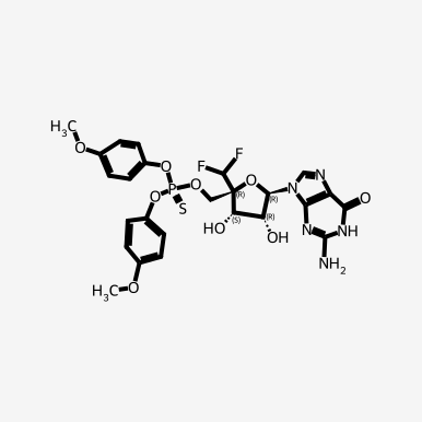 COc1ccc(OP(=S)(OC[C@@]2(C(F)F)O[C@@H](n3cnc4c(=O)[nH]c(N)nc43)[C@H](O)[C@@H]2O)Oc2ccc(OC)cc2)cc1